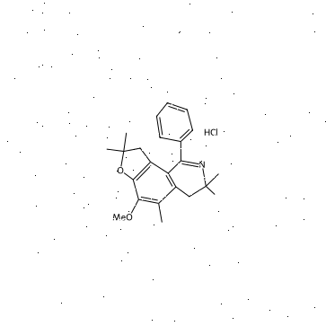 COc1c(C)c2c(c3c1OC(C)(C)C3)C(c1ccccc1)=NC(C)(C)C2.Cl